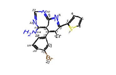 CCc1c(-c2cccs2)nc2ncnc(N)c2c1-c1cccc(Br)c1